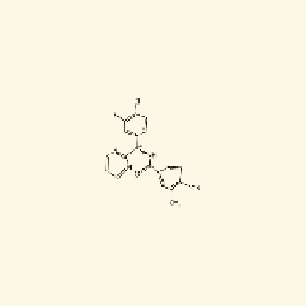 Cc1cc(C(=O)N[C@H](c2ccc(Cl)c(F)c2)c2ncccn2)ccc1C#N